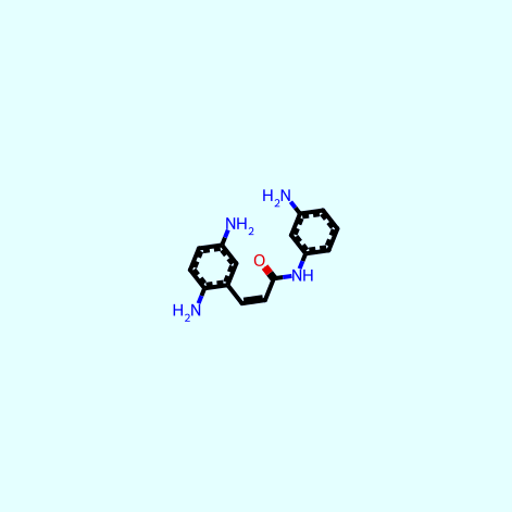 Nc1cccc(NC(=O)/C=C\c2cc(N)ccc2N)c1